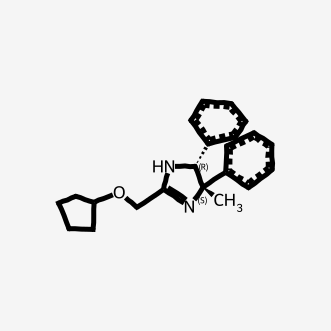 C[C@@]1(c2ccccc2)N=C(COC2CCCC2)N[C@@H]1c1ccccc1